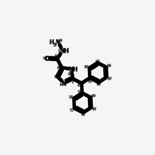 NNC(=O)c1cnc(C(c2ccccc2)c2ccccc2)[nH]1